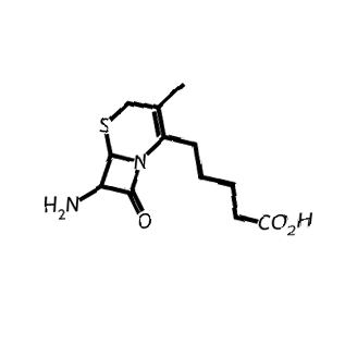 CC1=C(CCCCC(=O)O)N2C(=O)C(N)C2SC1